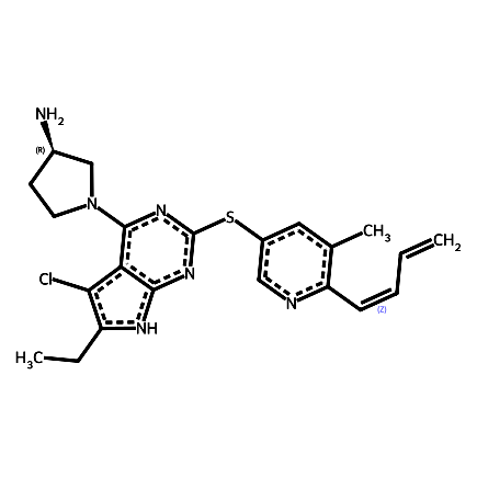 C=C/C=C\c1ncc(Sc2nc(N3CC[C@@H](N)C3)c3c(Cl)c(CC)[nH]c3n2)cc1C